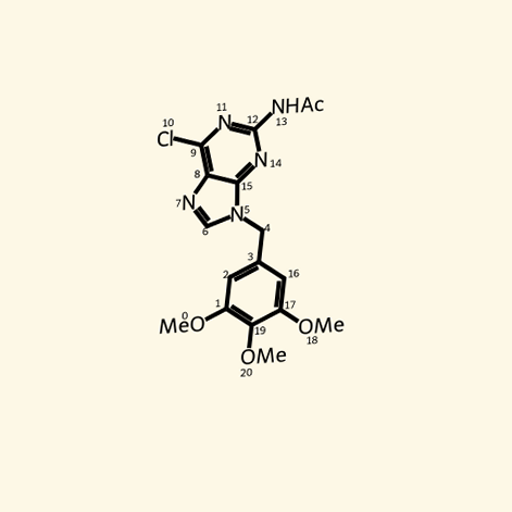 COc1cc(Cn2cnc3c(Cl)nc(NC(C)=O)nc32)cc(OC)c1OC